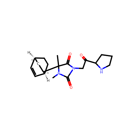 CN1C(=O)N(CC(=O)C2CCCN2)C(=O)C1(C)C1C[C@H]2C=C[C@@H]1CC2